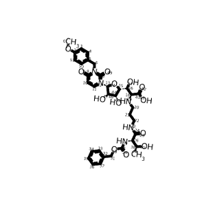 COc1ccc(Cn2c(=O)ccn([C@@H]3O[C@H](C(O)[C@H](NCCCNC(=O)[C@@H](NC(=O)OCc4ccccc4)[C@H](C)O)C(=O)O)[C@H](O)[C@H]3O)c2=O)cc1